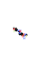 COc1ccc(NCC(=O)N2CCc3cc(S(=O)(=O)Nc4nccs4)ccc32)cc1F